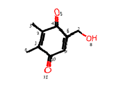 CC1=C(C)C(=O)C(CO)=CC1=O